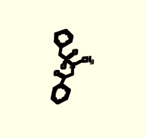 CN(CC(=O)c1ccccc1)S(=O)(=O)Cc1ccccc1